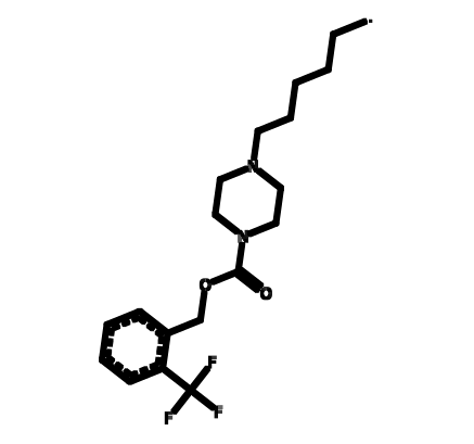 [CH2]CCCCCN1CCN(C(=O)OCc2ccccc2C(F)(F)F)CC1